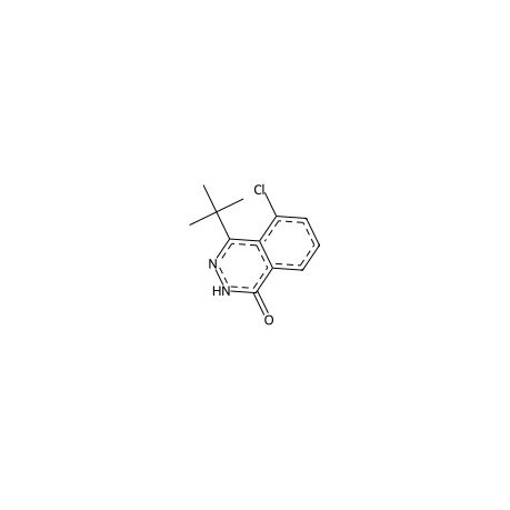 CC(C)(C)c1n[nH]c(=O)c2cccc(Cl)c12